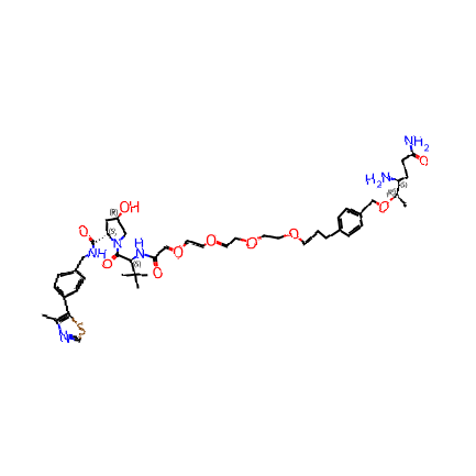 Cc1ncsc1-c1ccc(CNC(=O)[C@@H]2C[C@@H](O)CN2C(=O)[C@@H](NC(=O)COCCOCCOCCOCCCc2ccc(CO[C@H](C)[C@@H](N)CCC(N)=O)cc2)C(C)(C)C)cc1